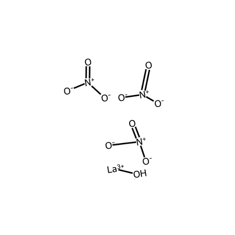 O=[N+]([O-])[O-].O=[N+]([O-])[O-].O=[N+]([O-])[O-].[OH][La+3]